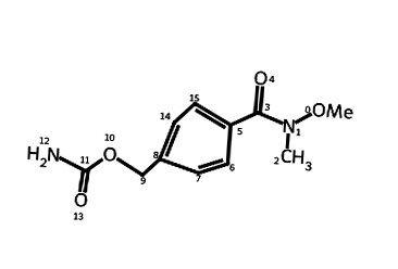 CON(C)C(=O)c1ccc(COC(N)=O)cc1